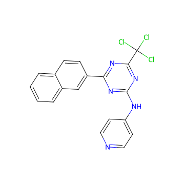 ClC(Cl)(Cl)c1nc(Nc2ccncc2)nc(-c2ccc3ccccc3c2)n1